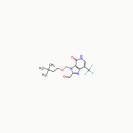 C[Si](C)(C)CCOCn1c(C=O)nc2c(C(F)(F)F)c[nH]c(=O)c21